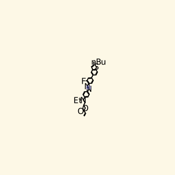 C=CC(=O)OCCN(CC)c1ccc(/N=N/c2ccc(-c3ccc4sc(CCCC)cc4c3)cc2F)cc1